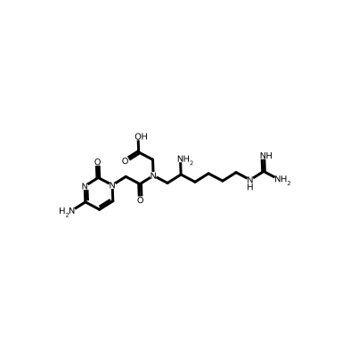 N=C(N)NCCCCC(N)CN(CC(=O)O)C(=O)Cn1ccc(N)nc1=O